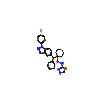 O=C(Nc1nncs1)C1(C(c2ccccc2)c2ccc3c(cnn3-c3ccc(F)cc3)c2)CCCCC1